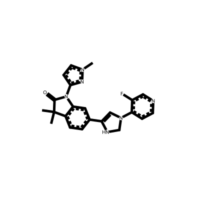 Cn1ccc(N2C(=O)C(C)(C)c3ccc(C4=CN(c5ccncc5F)CN4)cc32)n1